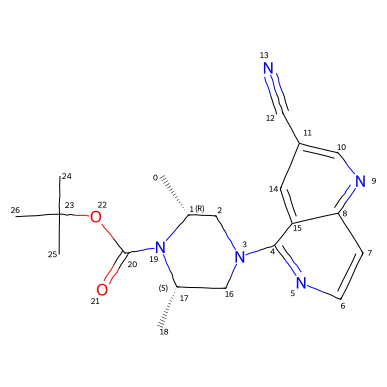 C[C@@H]1CN(c2nccc3ncc(C#N)cc23)C[C@H](C)N1C(=O)OC(C)(C)C